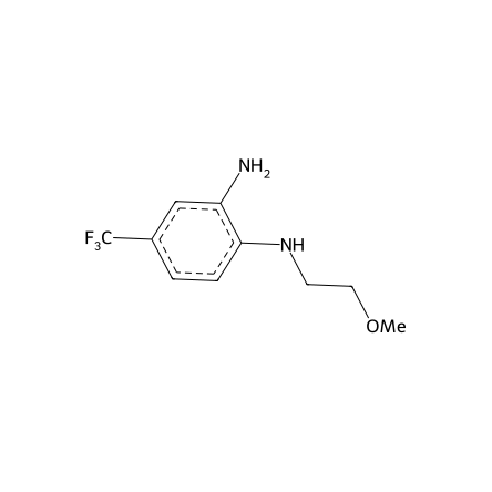 COCCNc1ccc(C(F)(F)F)cc1N